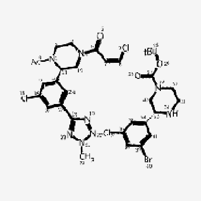 CC(=O)N1CCN(C(=O)/C=C\Cl)C[C@H]1c1cc(Cl)cc(-c2nnn(C)n2)c1.CC(C)(C)OC(=O)N1CCN[C@H](c2cc(Cl)cc(Br)c2)C1